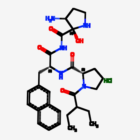 CCC(CC)C(=O)N1CCC[C@H]1C(=O)N[C@H](Cc1ccc2ccccc2c1)C(=O)NC(=O)[C@@]1(O)NCCC1N.Cl